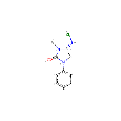 CCN1C(=O)N(c2ccccc2)C/C1=N/Cl